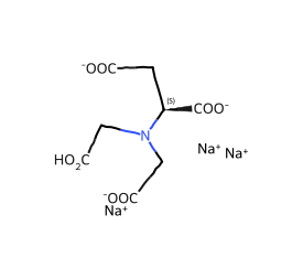 O=C([O-])C[C@@H](C(=O)[O-])N(CC(=O)[O-])CC(=O)O.[Na+].[Na+].[Na+]